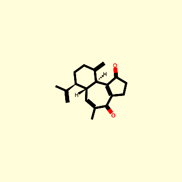 C=C1CC[C@H](C(=C)C)[C@H]2C=C(C)C(=O)C3=C(C(=O)CC3)[C@H]12